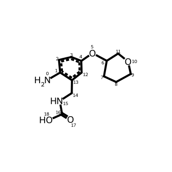 Nc1ccc(OC2CCCOC2)cc1CNC(=O)O